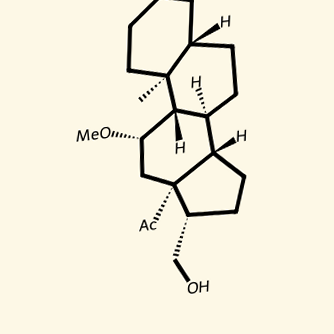 CO[C@H]1C[C@]2(C(C)=O)[C@@H](CO)CC[C@H]2[C@@H]2CC[C@H]3CCCC[C@]3(C)[C@H]21